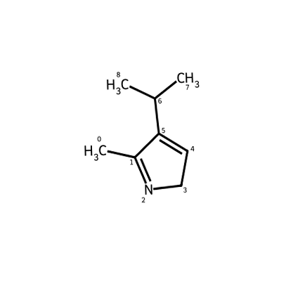 CC1=NCC=C1C(C)C